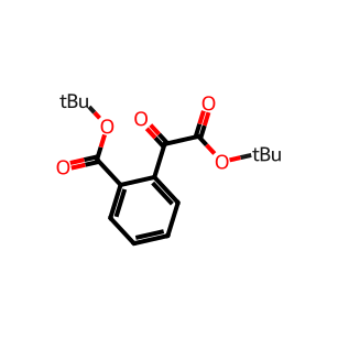 CC(C)(C)OC(=O)C(=O)c1ccccc1C(=O)OC(C)(C)C